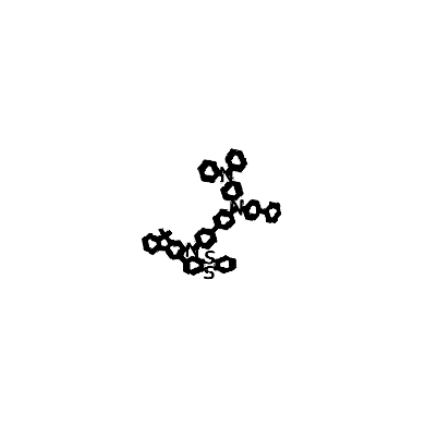 CC1(C)c2ccccc2-c2cc3c4ccc5c(c4n(-c4ccc(-c6ccc(N(c7ccc(-c8ccccc8)cc7)c7ccc(N(c8ccccc8)c8ccccc8)cc7)cc6)cc4)c3cc21)Sc1ccccc1S5